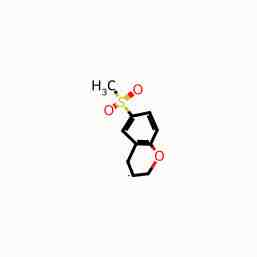 CS(=O)(=O)c1ccc2c(c1)C[CH]CO2